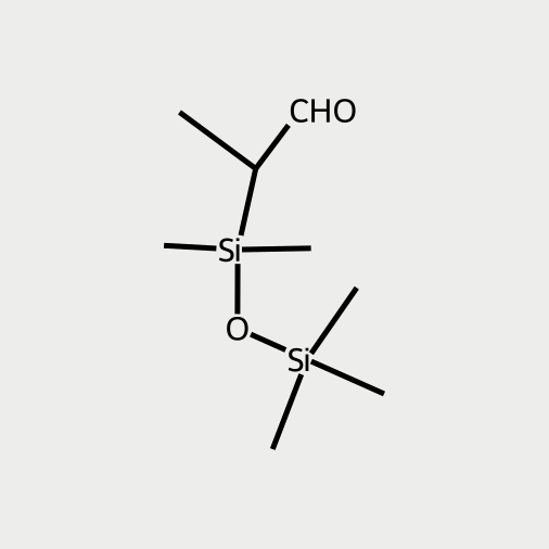 CC(C=O)[Si](C)(C)O[Si](C)(C)C